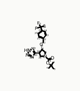 CC(C)(C)OC(=O)N1C[C@@H](OCc2ccc(C(F)(F)F)cc2)[C@H](c2nn[nH]n2)C1